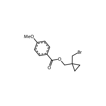 COc1ccc(C(=O)OCC2(CBr)CC2)cc1